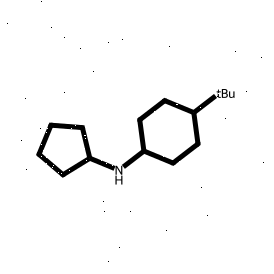 CC(C)(C)C1CCC(NC2CCCC2)CC1